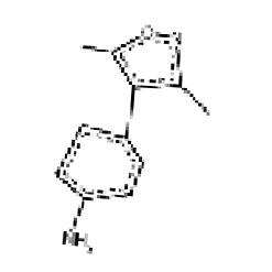 Cc1noc(C)c1-c1ccc(N)cc1